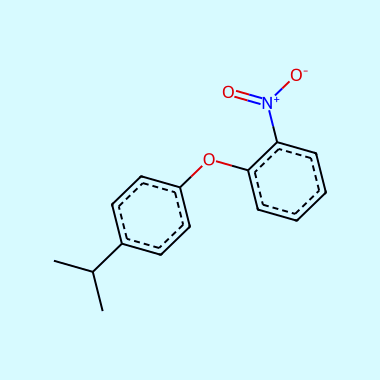 CC(C)c1ccc(Oc2ccccc2[N+](=O)[O-])cc1